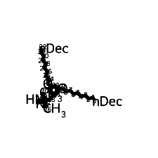 CCCCCCCCCCCCCCCCCCOc1cc(Cc2c(C)n[nH]c2C)cc(OCCCCCCCCCCCCCCCCCC)c1